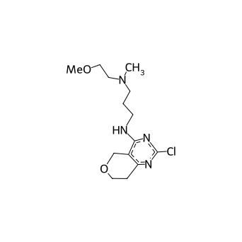 COCCN(C)CCCNc1nc(Cl)nc2c1COCC2